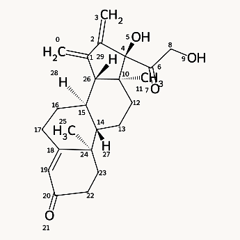 C=C1C(=C)[C@](O)(C(=O)CO)[C@@]2(C)CC[C@H]3[C@@H](CCC4=CC(=O)CC[C@@]43C)[C@H]12